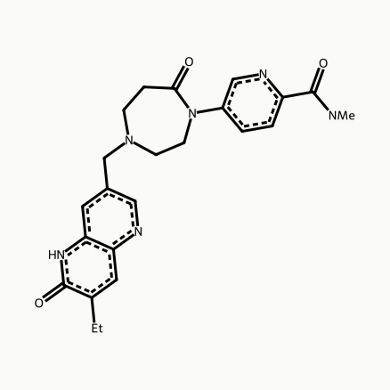 CCc1cc2ncc(CN3CCC(=O)N(c4ccc(C(=O)NC)nc4)CC3)cc2[nH]c1=O